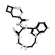 O=C(O)C[C@@H](CC1CCC1)C(=O)N[C@H]1Cc2cn(c3ccccc23)CCOCCNC1=O